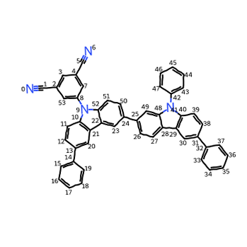 N#Cc1cc(C#N)cc(-n2c3ccc(-c4ccccc4)cc3c3cc(-c4ccc5c6cc(-c7ccccc7)ccc6n(-c6ccccc6)c5c4)ccc32)c1